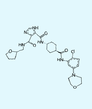 O=C(NCC1CCCO1)c1nc[nH]c1C(=O)N[C@H]1CC[C@H](C(=O)Nc2cc(N3CCOCC3)ccc2Cl)CC1